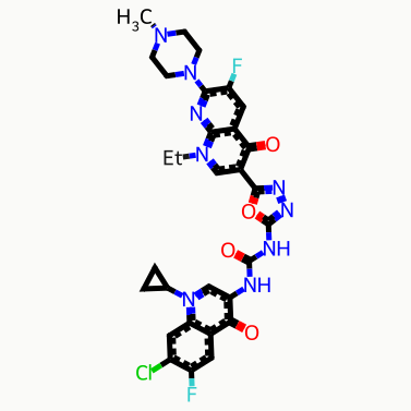 CCn1cc(-c2nnc(NC(=O)Nc3cn(C4CC4)c4cc(Cl)c(F)cc4c3=O)o2)c(=O)c2cc(F)c(N3CCN(C)CC3)nc21